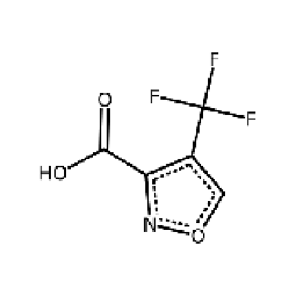 O=C(O)c1nocc1C(F)(F)F